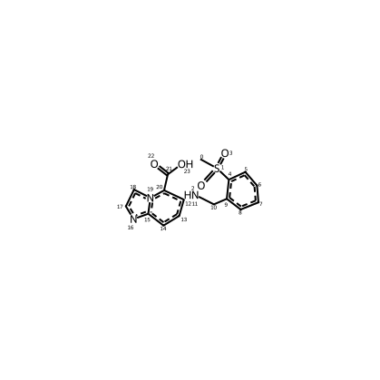 CS(=O)(=O)c1ccccc1CNc1ccc2nccn2c1C(=O)O